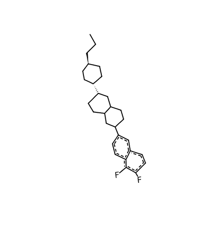 CCC[C@H]1CC[C@H](C2CCC3CC(c4ccc5c(F)c(F)ccc5c4)CCC3C2)CC1